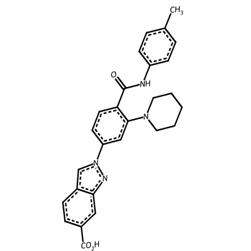 Cc1ccc(NC(=O)c2ccc(-n3cc4ccc(C(=O)O)cc4n3)cc2N2CCCCC2)cc1